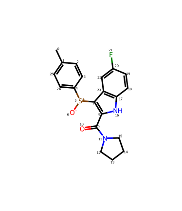 Cc1ccc([S+]([O-])c2c(C(=O)N3CCCC3)[nH]c3ccc(F)cc23)cc1